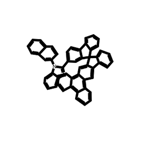 c1ccc2c(c1)-c1ccc(-c3nc4ccccc4n3-c3ccc4ccccc4c3)cc1C21c2ccccc2-c2cc3c4ccccc4c4ccccc4c3cc21